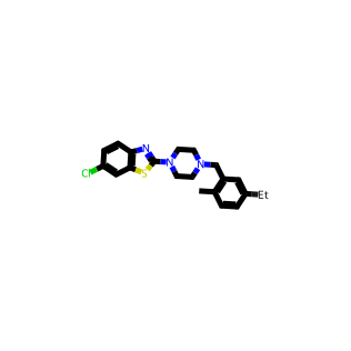 CCc1ccc(C)c(CN2CCN(c3nc4ccc(Cl)cc4s3)CC2)c1